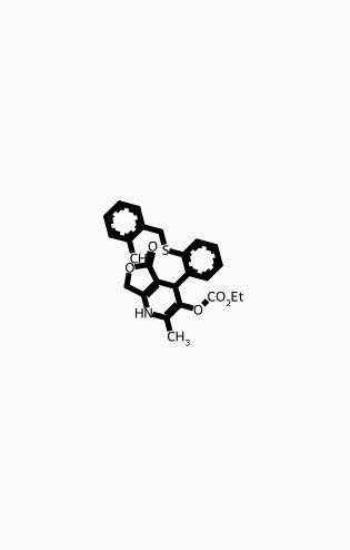 CCOC(=O)OC1=C(C)NC2=C(C(=O)OC2)C1c1ccccc1SCc1ccccc1C